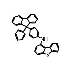 c1ccc(C2(c3ccc(Nc4cccc5sc6ccccc6c45)cc3)c3ccccc3-c3ccccc32)cc1